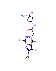 CC(C)c1nn(CC(=O)N[C@H]2C[C@@](C)(O)C2)c(=O)c2c(F)c(C3CC3)nn12